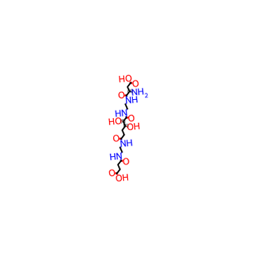 N[C@H](CC(=O)O)C(=O)NCCNC(=O)[C@@H](O)[C@H](O)CCC(=O)NCCNC(=O)CCC(=O)O